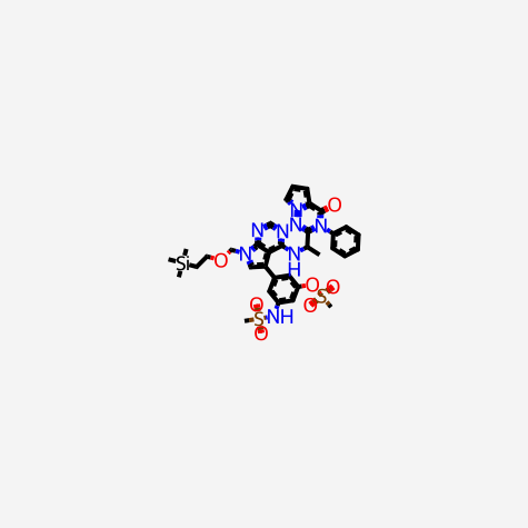 CC(Nc1ncnc2c1c(-c1cc(NS(C)(=O)=O)cc(OS(C)(=O)=O)c1)cn2COCC[Si](C)(C)C)c1nn2cccc2c(=O)n1-c1ccccc1